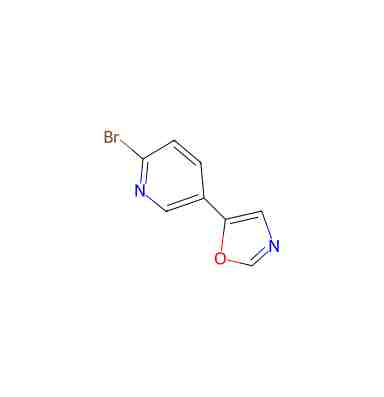 Brc1ccc(-c2cnco2)cn1